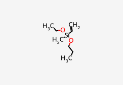 C=C[Si](C)(OCC)OCCC